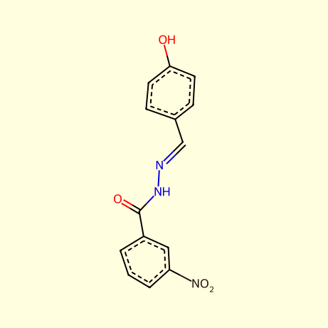 O=C(NN=Cc1ccc(O)cc1)c1cccc([N+](=O)[O-])c1